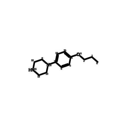 CCCOc1ccc(N2CCNCC2)cc1